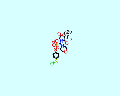 CCCCOC(=O)CN(C(=O)C(F)(F)F)C(N1CCOCC1)P(=O)(O)OOc1ccc(SCl)cc1